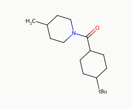 [CH2]C1CCN(C(=O)C2CCC(C(C)(C)C)CC2)CC1